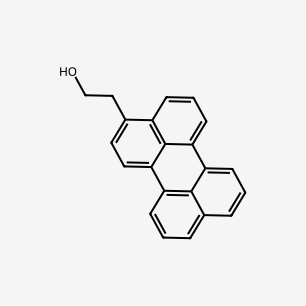 OCCc1ccc2c3cccc4cccc(c5cccc1c52)c43